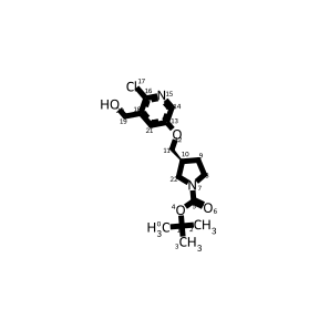 CC(C)(C)OC(=O)N1CC[C@H](COc2cnc(Cl)c(CO)c2)C1